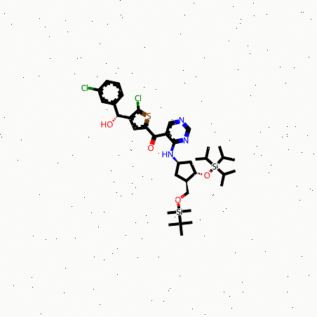 CC(C)[Si](O[C@H]1C[C@H](Nc2ncncc2C(=O)c2cc([C@H](O)c3cccc(Cl)c3)c(Cl)s2)C[C@@H]1CO[Si](C)(C)C(C)(C)C)(C(C)C)C(C)C